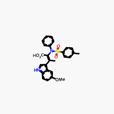 COc1ccc2[nH]cc(/C(C)=C(\C(=O)O)N(c3ccccc3)S(=O)(=O)c3ccc(C)cc3)c2c1